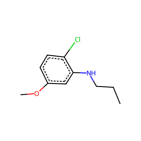 CCCNc1cc(OC)ccc1Cl